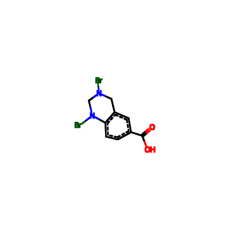 O=C(O)c1ccc2c(c1)CN(Br)CN2Br